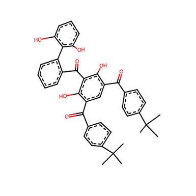 CC(C)(C)c1ccc(C(=O)c2cc(C(=O)c3ccc(C(C)(C)C)cc3)c(O)c(C(=O)c3ccccc3-c3c(O)cccc3O)c2O)cc1